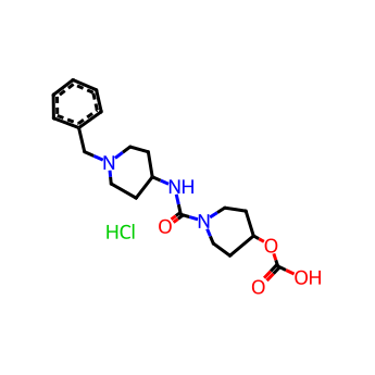 Cl.O=C(O)OC1CCN(C(=O)NC2CCN(Cc3ccccc3)CC2)CC1